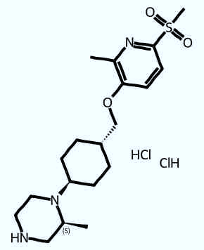 Cc1nc(S(C)(=O)=O)ccc1OC[C@H]1CC[C@H](N2CCNC[C@@H]2C)CC1.Cl.Cl